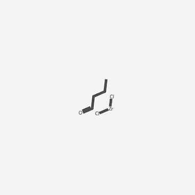 CCCC=O.[Cl][Zr][Cl]